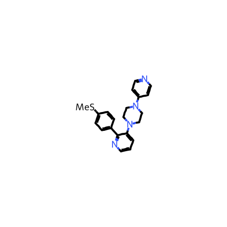 CSc1ccc(-c2ncccc2N2CCN(c3ccncc3)CC2)cc1